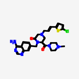 CN1CCN(C(=O)C2CN(C/C=C/c3ccc(Cl)s3)CC(=O)N2Cc2ccc3c(N)ncnc3c2)CC1